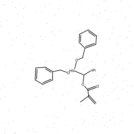 C=C(C)C(=O)OC(CCC)[SiH](OCc1ccccc1)OCc1ccccc1